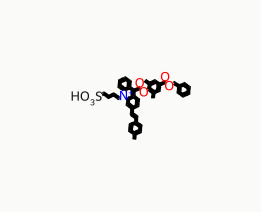 Cc1ccc(/C=C/c2ccc3c(C(=O)Oc4c(C)cc(C(=O)OCc5ccccc5)cc4C)c4ccccc4[n+](CCCCS(=O)(=O)O)c3c2)cc1